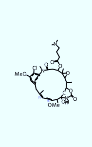 COc1cc2cc(c1Cl)N(C)C(=O)CC(OC(=O)CCCN(C)C)C1(C)OC1C(C)C1CC(O)(NC(=O)O1)C(OC)/C=C/C=C(\C)C2